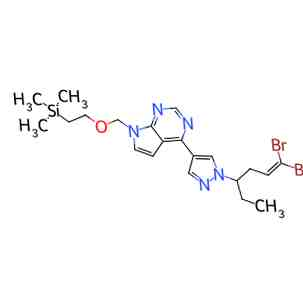 CCC(CC=C(Br)Br)n1cc(-c2ncnc3c2ccn3COCC[Si](C)(C)C)cn1